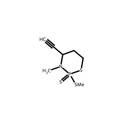 C#CC1CCSP(=S)(SC)N1C